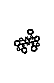 c1ccc(N2c3cccc4c3B(c3ccccc3O4)c3nc4c(nc32)Oc2cccc3c2B4c2ccccc2O3)cc1